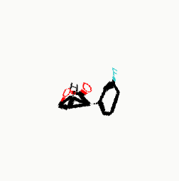 O=C1OC2C3[C@@H]2[C@@]13c1cccc(F)c1